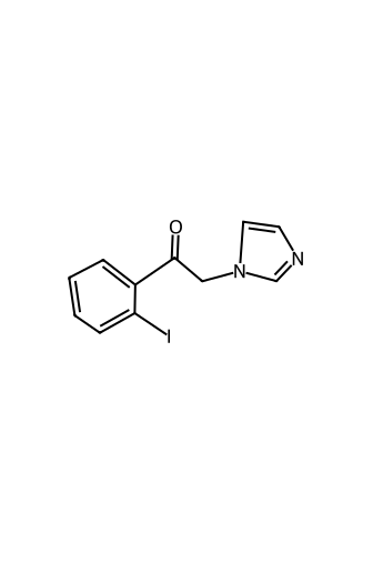 O=C(Cn1ccnc1)c1ccccc1I